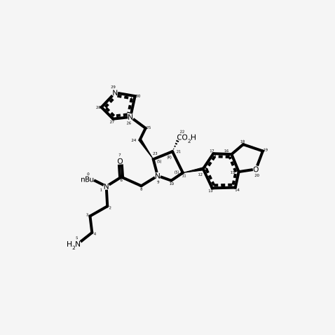 CCCCN(CCCN)C(=O)CN1C[C@H](c2ccc3c(c2)CCO3)[C@@H](C(=O)O)[C@@H]1CCn1ccnc1